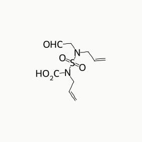 C=CCN(CC=O)S(=O)(=O)N(CC=C)C(=O)O